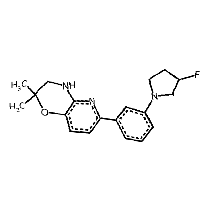 CC1(C)CNc2nc(-c3cccc(N4CCC(F)C4)c3)ccc2O1